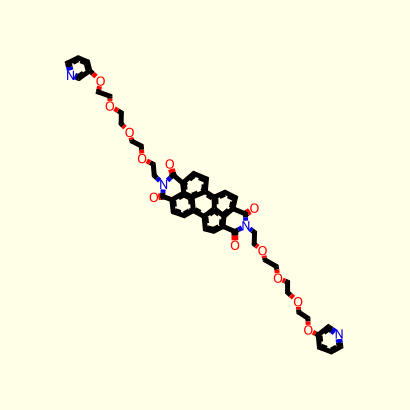 O=C1c2ccc3c4ccc5c6c(ccc(c7ccc(c2c37)C(=O)N1CCOCCOCCOCCOc1cccnc1)c64)C(=O)N(CCOCCOCCOCCOc1cccnc1)C5=O